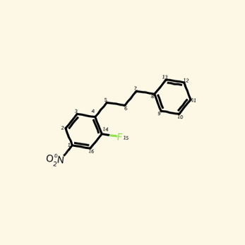 O=[N+]([O-])c1ccc(CCCc2ccccc2)c(F)c1